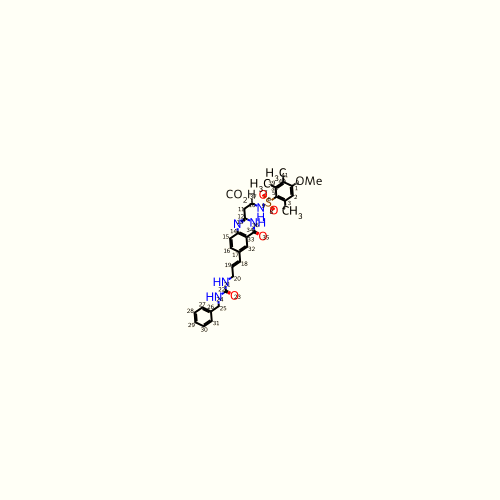 COc1cc(C)c(S(=O)(=O)N[C@@H](Cc2nc3ccc(/C=C/CNC(=O)NCc4ccccc4)cc3c(=O)[nH]2)C(=O)O)c(C)c1C